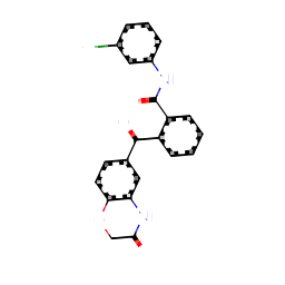 O=C1COc2ccc(C(=O)c3ccccc3C(=O)Nc3cccc(Cl)c3)cc2N1